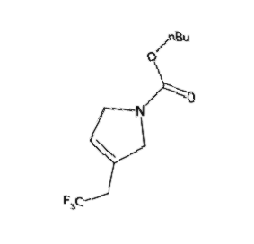 CCCCOC(=O)N1CC=C(CC(F)(F)F)C1